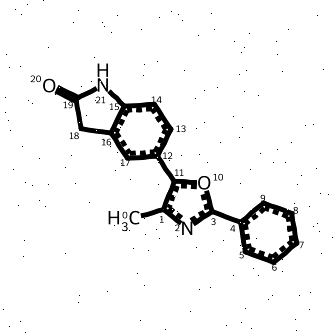 Cc1nc(-c2ccccc2)oc1-c1ccc2c(c1)CC(=O)N2